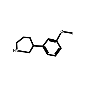 IOc1cccc(C2CCCNC2)c1